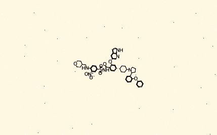 O=C(NS(=O)(=O)c1ccc(NCC2CCOCC2)c([N+](=O)[O-])c1)c1ccc([C@H]2CC[C@H](N3CCCC3c3ccccc3Oc3ccccc3)CC2)cc1Oc1cnc2[nH]ccc2c1